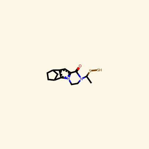 CC(SS)N1CCn2c(cc3c2C2CCC3C2)C1=O